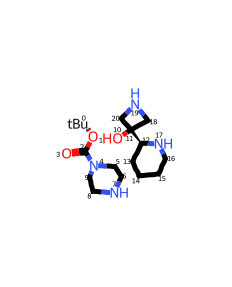 CC(C)(C)OC(=O)N1CCNCC1.OC1([C@@H]2CCCCN2)CNC1